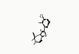 Cc1c(Cl)cccc1-c1nc2c(s1)C(C)(C)N(C)CC2